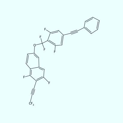 Fc1cc2cc(OC(F)(F)c3c(F)cc(C#Cc4ccccc4)cc3F)ccc2c(F)c1C#CC(F)(F)F